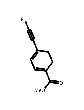 COC(=O)C1=CC=C(C#CBr)CC1